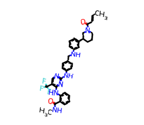 CC=CC(=O)N1CCCC(c2cccc(NCc3ccc(Nc4ncc(C(F)(F)F)c(Nc5ccccc5C(=O)NC)n4)cc3)c2)C1